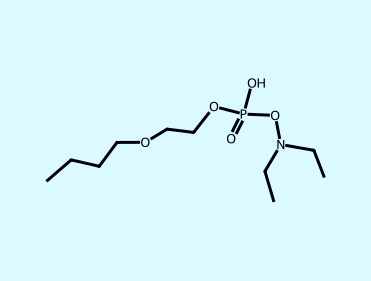 CCCCOCCOP(=O)(O)ON(CC)CC